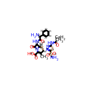 CC(=O)Nc1nnc(S(N)(=O)=O)s1.CC1=C(C(=O)O)N2C(=O)[C@@H](NC(=O)[C@H](N)c3ccccc3)[C@H]2SC1.[CaH2]